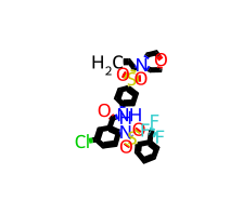 C=CC(N1CCOCC1)S(=O)(=O)c1ccc(NC(=O)c2cc(Cl)ccc2NS(=O)(=O)c2ccccc2C(F)(F)F)cc1